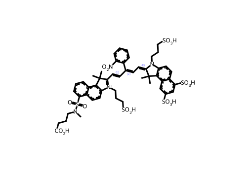 CN(CCCC(=O)O)S(=O)(=O)c1cccc2c3c(ccc12)[N+](CCCS(=O)(=O)O)=C(/C=C/C(=C/C=C1/N(CCCS(=O)(=O)O)c2ccc4c(S(=O)(=O)O)cc(S(=O)(=O)O)cc4c2C1(C)C)c1ccccc1[N+](=O)[O-])C3(C)C